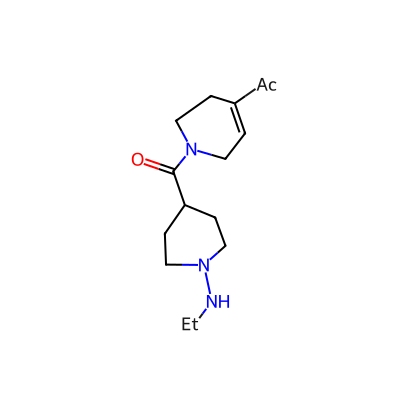 CCNN1CCC(C(=O)N2CC=C(C(C)=O)CC2)CC1